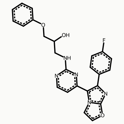 OC(CNc1nccc(-c2c(-c3ccc(F)cc3)nc3occn23)n1)COc1ccccc1